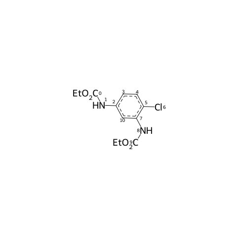 CCOC(=O)Nc1ccc(Cl)c(NC(=O)OCC)c1